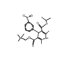 CC1=C(C(=O)OC[Si](C)(C)C)C(c2cccc([N+](=O)[O-])c2)C(C(=O)OC(C)C)=C(C)N1